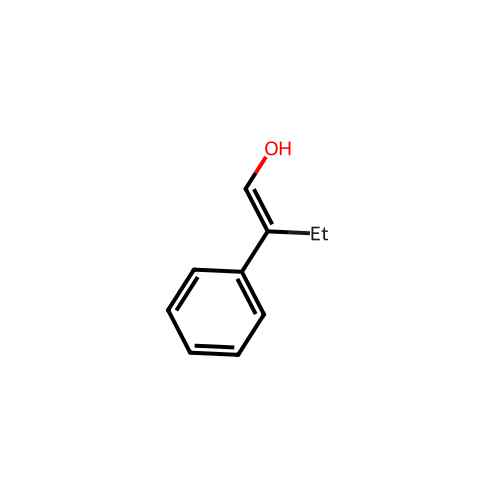 [CH2]CC(=CO)c1ccccc1